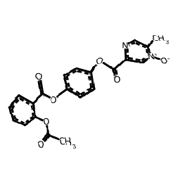 CC(=O)Oc1ccccc1C(=O)Oc1ccc(OC(=O)c2c[n+]([O-])c(C)cn2)cc1